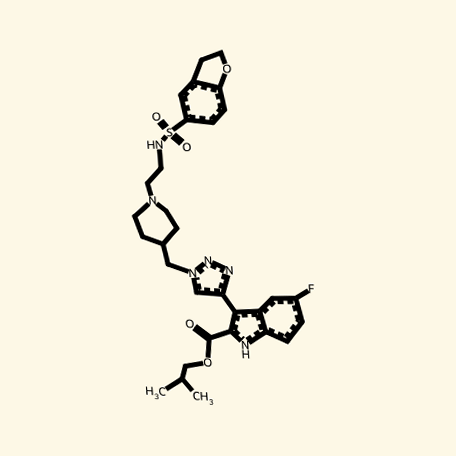 CC(C)COC(=O)c1[nH]c2ccc(F)cc2c1-c1cn(CC2CCN(CCNS(=O)(=O)c3ccc4c(c3)CCO4)CC2)nn1